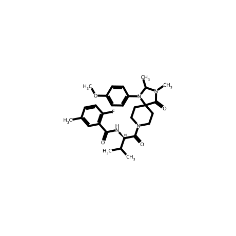 COc1ccc(N2C(C)N(C)C(=O)C23CCN(C(=O)[C@H](NC(=O)c2cc(C)ccc2F)C(C)C)CC3)cc1